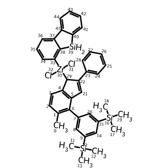 Cc1ccc2c(c1-c1cc([Si](C)(C)C)cc([Si](C)(C)C)c1)C=C(c1ccccc1)[CH]2[Zr]([Cl])([Cl])[c]1cccc2c1[SiH2]c1ccccc1-2